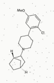 COc1ccc(Cl)c(C2CCN(C3C[C@H]4CC[C@H]3C4)CC2)c1